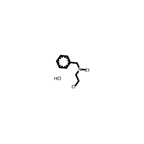 CCN(CCCl)Cc1ccccc1.Cl